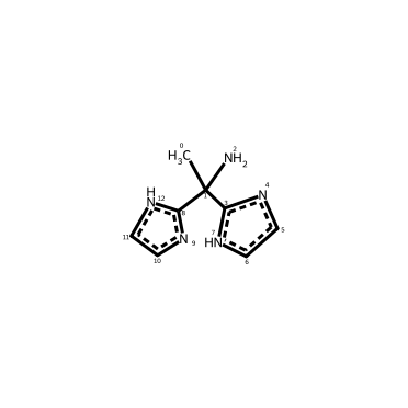 CC(N)(c1ncc[nH]1)c1ncc[nH]1